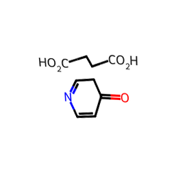 O=C(O)CCC(=O)O.O=C1C=CN=CC1